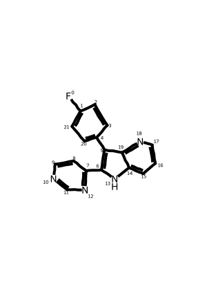 Fc1ccc(-c2c(-c3ccncn3)[nH]c3cccnc23)cc1